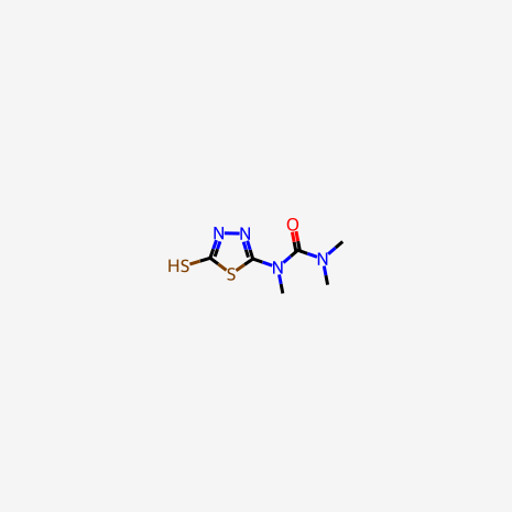 CN(C)C(=O)N(C)c1nnc(S)s1